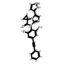 O=C1N(c2c(F)cc(C#Cc3ccccc3)cc2F)c2ncc(-c3cc[nH]n3)n2C12CC2